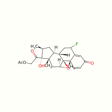 CC(=O)OCC(=O)[C@@]1(O)[C@@H](C)C[C@H]2[C@@H]3CC(F)C4=CC(=O)C=C[C@]4(C)[C@@]34O[C@H]4C[C@@]21C